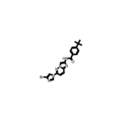 CC(C)(C)c1ccc(C(=O)Nc2cn3nc(-n4cnc(Br)c4)ccc3n2)cc1